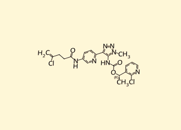 C=C(Cl)CCC(=O)Nc1ccc(-c2nnn(C)c2NC(=O)O[C@H](C)c2cccnc2Cl)nc1